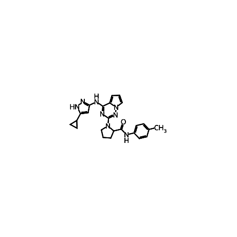 Cc1ccc(NC(=O)C2CCCN2c2nc(Nc3cc(C4CC4)[nH]n3)c3cccn3n2)cc1